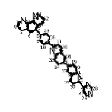 c1cnc2c(c1)cc(-c1ccc(-c3ccc4cc(-c5ccc6nc(-c7ccncn7)ccc6c5)ccc4n3)cc1)c1cccnc12